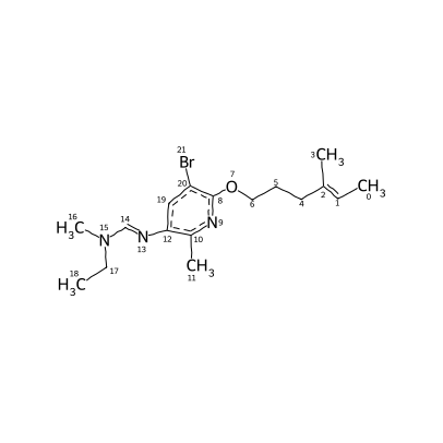 C/C=C(\C)CCCOc1nc(C)c(/N=C/N(C)CC)cc1Br